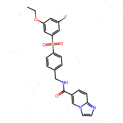 CCOc1cc(F)cc(S(=O)(=O)c2ccc(CNC(=O)c3ccc4nccn4c3)cc2)c1